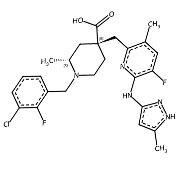 Cc1cc(Nc2nc(C[C@@]3(C(=O)O)CCN(Cc4cccc(Cl)c4F)[C@H](C)C3)c(C)cc2F)n[nH]1